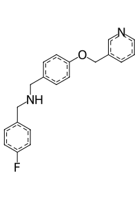 Fc1ccc(CNCc2ccc(OCc3cccnc3)cc2)cc1